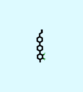 C=CCC1CCC(C2CCC(C3CCC(C)C(F)C3F)CC2)CC1